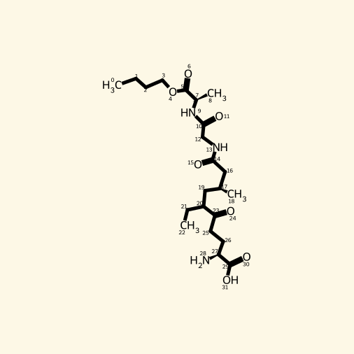 CCCCOC(=O)[C@@H](C)NC(=O)CNC(=O)C[C@@H](C)CC(CC)C(=O)CC[C@H](N)C(=O)O